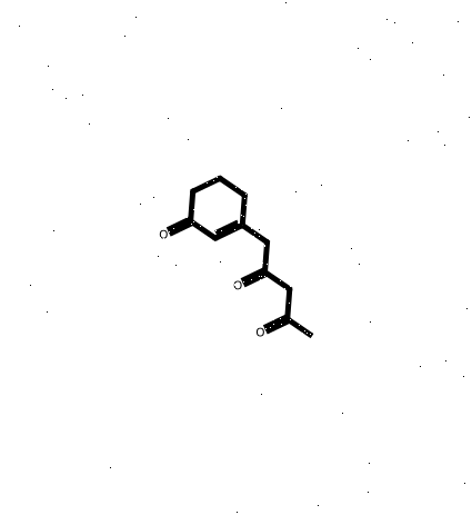 CC(=O)CC(=O)CC1=CC(=O)CCC1